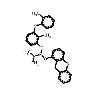 Cc1ccccc1Sc1cccc(OP(Oc2cccc3c2Cc2ccccc2S3)N(C)C)c1C